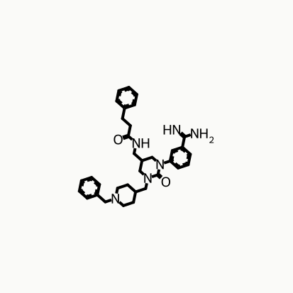 N=C(N)c1cccc(N2CC(CNC(=O)CCc3ccccc3)CN(CC3CCN(Cc4ccccc4)CC3)C2=O)c1